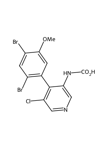 COc1cc(-c2c(Cl)cncc2NC(=O)O)c(Br)cc1Br